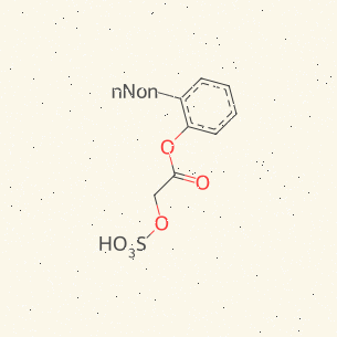 CCCCCCCCCc1ccccc1OC(=O)COS(=O)(=O)O